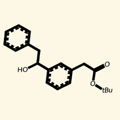 CC(C)(C)OC(=O)Cc1cccc(C(O)Cc2ccccc2)c1